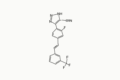 N#Cc1[nH]nnc1-c1ccc(C=Cc2cccc(C(F)(F)F)c2)cc1F